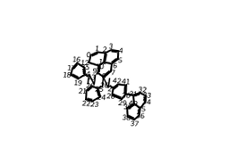 C1=Cc2cccc3cc4c(c(c23)C1)N(c1ccccc1)c1ccccc1N4c1ccc(-c2cccc3ccccc23)cc1